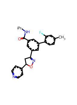 Cc1ccc(-c2cc(C(=O)NC(C)C)cc(C3=NOC(c4ccncc4)C3)c2)c(F)c1